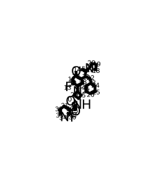 O=S(=O)(NC1CN(c2cc3c(cc2F)OCC(N2CCC2)C3Cc2ccccc2)C1)c1cccnc1F